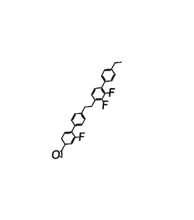 CCc1ccc(-c2ccc(CCc3ccc(C4=CCC(C5CO5)C=C4F)cc3)c(F)c2F)cc1